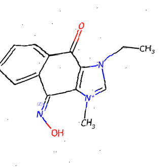 CCn1c[n+](C)c2c1C(=O)c1ccccc1/C2=N/O